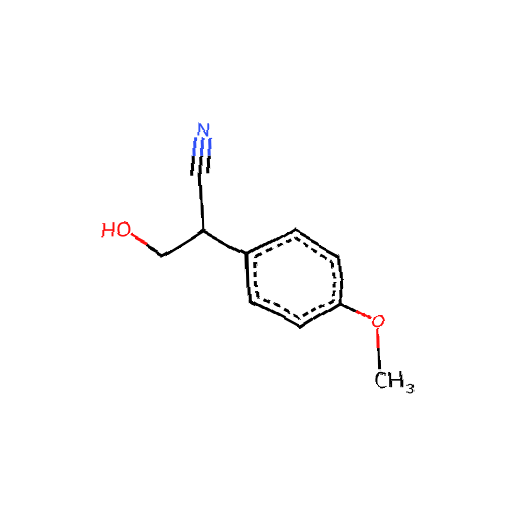 COc1ccc(C(C#N)CO)cc1